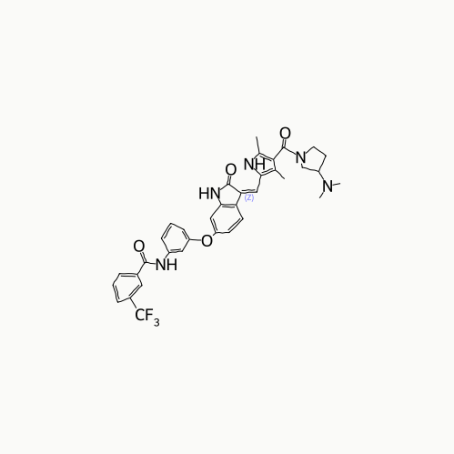 Cc1[nH]c(/C=C2\C(=O)Nc3cc(Oc4cccc(NC(=O)c5cccc(C(F)(F)F)c5)c4)ccc32)c(C)c1C(=O)N1CCC(N(C)C)C1